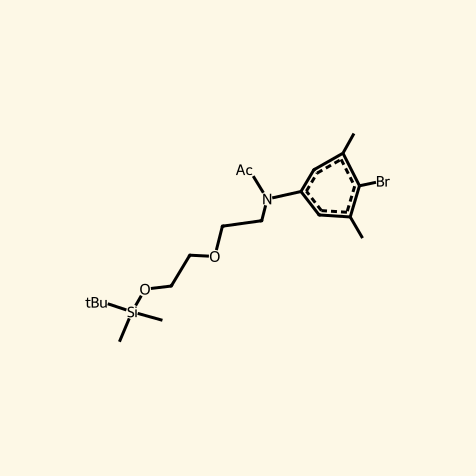 CC(=O)N(CCOCCO[Si](C)(C)C(C)(C)C)c1cc(C)c(Br)c(C)c1